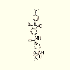 CC(C)c1ccc(N2C(=O)c3ccc(NC(=O)N4CCC(NS(=O)(=O)C(C)(C)C)CC4)cc3C2=O)cc1